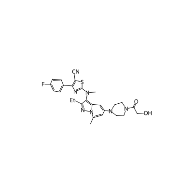 CCc1nn2c(C)cc(N3CCN(C(=O)CO)CC3)cc2c1N(C)c1nc(-c2ccc(F)cc2)c(C#N)s1